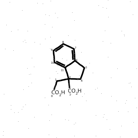 O=C(O)CC1(C(=O)O)CCc2ccccc21